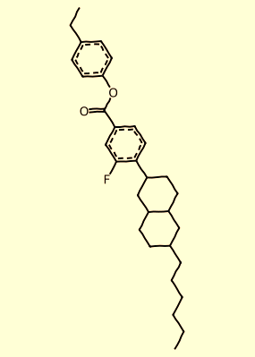 CCCCCCC1CCC2CC(c3ccc(C(=O)Oc4ccc(CC)cc4)cc3F)CCC2C1